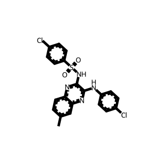 Cc1ccc2nc(NS(=O)(=O)c3ccc(Cl)cc3)c(Nc3ccc(Cl)cc3)nc2c1